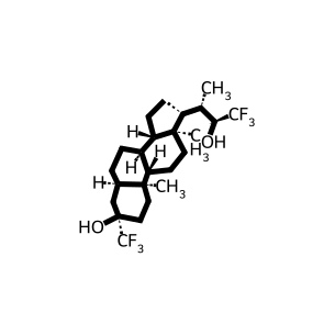 C[C@@H]([C@H]1CC[C@H]2[C@@H]3CC[C@@H]4C[C@@](O)(C(F)(F)F)CC[C@]4(C)[C@H]3CC[C@]12C)[C@H](O)C(F)(F)F